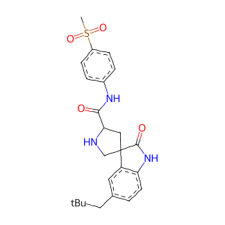 CC(C)(C)Cc1ccc2c(c1)C1(CNC(C(=O)Nc3ccc(S(C)(=O)=O)cc3)C1)C(=O)N2